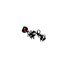 O=C(OCc1cnccn1)N1CCc2c(ncnc2NCC23CC4CC(CC(C4)C2)C3)C1